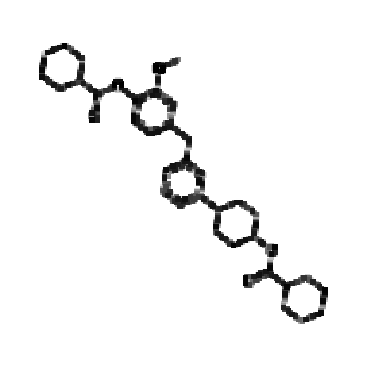 COc1cc(Cc2cccc(C3CCC(OC(=O)C4CCCCC4)CC3)c2)ccc1OC(=O)C1CCCCC1